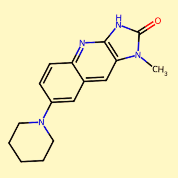 Cn1c(=O)[nH]c2nc3ccc(N4CCCCC4)cc3cc21